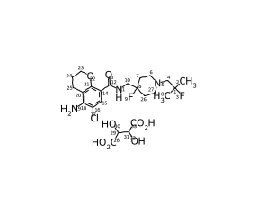 CC(C)(F)CN1CCC(F)(CNC(=O)c2cc(Cl)c(N)c3c2OCCC3)CC1.O=C(O)C(O)C(O)C(=O)O